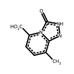 Cc1ccc(C(=O)O)n2c(=O)[nH]nc12